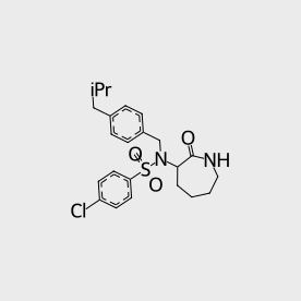 CC(C)Cc1ccc(CN(C2CCCCNC2=O)S(=O)(=O)c2ccc(Cl)cc2)cc1